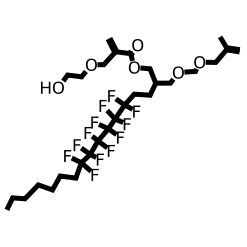 C=C(C)COCOCC(CCC(F)(F)C(F)(F)C(F)(F)C(F)(F)C(F)(F)C(F)(F)CCCCCCC)COC(=O)C(=C)COCCO